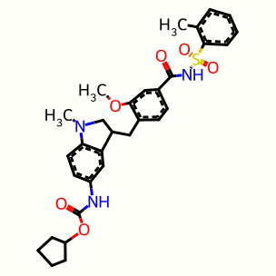 COc1cc(C(=O)NS(=O)(=O)c2ccccc2C)ccc1CC1CN(C)c2ccc(NC(=O)OC3CCCC3)cc21